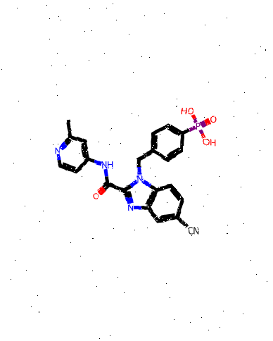 Cc1cc(NC(=O)c2nc3cc(C#N)ccc3n2Cc2ccc(P(=O)(O)O)cc2)ccn1